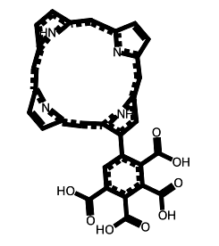 O=C(O)c1cc(-c2cc3cc4nc(cc5ccc(cc6nc(cc2[nH]3)C=C6)[nH]5)C=C4)c(C(=O)O)c(C(=O)O)c1C(=O)O